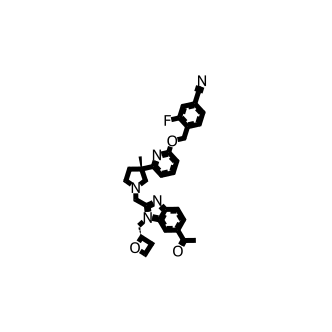 CC(=O)c1ccc2nc(CN3CC[C@](C)(c4cccc(OCc5ccc(C#N)cc5F)n4)C3)n(C[C@@H]3CCO3)c2c1